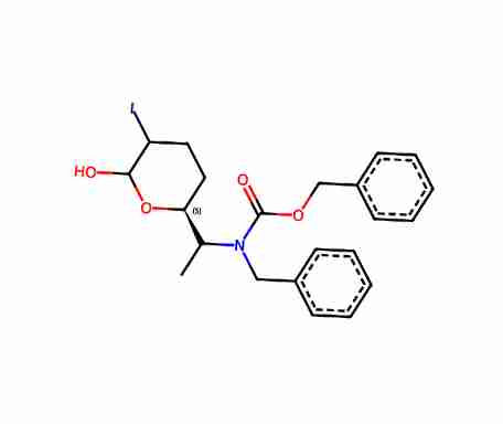 CC([C@@H]1CCC(I)C(O)O1)N(Cc1ccccc1)C(=O)OCc1ccccc1